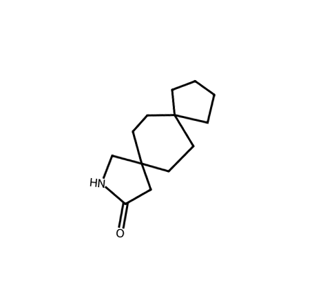 O=C1CC2(CCC3(CCCC3)CC2)CN1